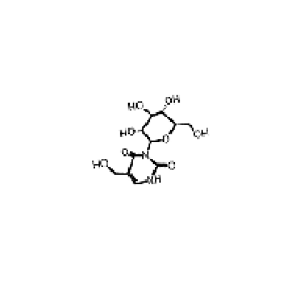 O=c1[nH]cc(CO)c(=O)n1C1O[C@H](CO)[C@@H](O)[C@H](O)[C@H]1O